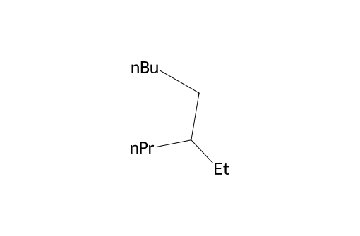 C[CH]CCCC(CC)CCC